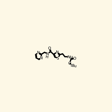 CC(C)(C)OC(=O)NCCc1nc(C(=O)NCc2ncccn2)cs1